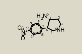 N[C@@H]1CCNC[C@H]1c1ccc([N+](=O)[O-])cc1